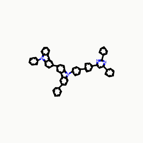 c1ccc(-c2ccc3c(c2)c2cc(-c4ccc5c(c4)c4ccccc4n5-c4ccccc4)ccc2n3-c2ccc(-c3ccc(-c4cc(-c5ccccc5)nc(-c5ccccc5)n4)cc3)cc2)cc1